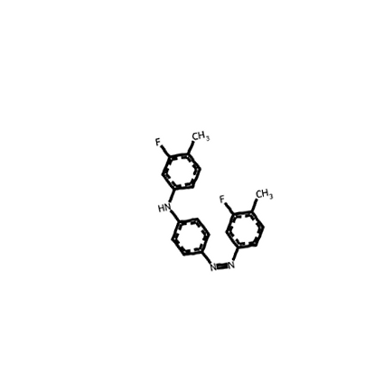 Cc1ccc(/N=N\c2ccc(Nc3ccc(C)c(F)c3)cc2)cc1F